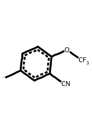 [CH2]c1ccc(OC(F)(F)F)c(C#N)c1